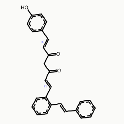 O=C(/C=C/c1ccc(O)cc1)CC(=O)/C=C/c1ccccc1C=Cc1ccccc1